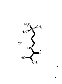 CC(O)C(=O)NCCC[N+](C)(C)C.[Cl-]